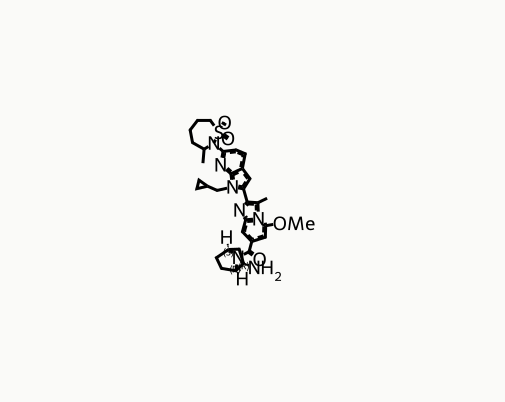 COc1cc(C(=O)N2[C@H]3CC[C@@H]2[C@H](N)C3)cc2nc(-c3cc4ccc(N5C(C)CCCCS5(=O)=O)nc4n3CC3CC3)c(C)n12